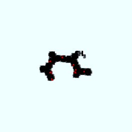 CC1C=CC(N(c2ccc(-c3ccc(-c4ccc(N(C5=CC=CCC5)c5ccc(-c6ccc(N(c7ccccc7)c7ccc(-c8ccccc8)cc7)cc6)cc5)cc4)cc3)cc2)c2ccc(-c3ccc(N(c4ccccc4)c4ccc(-c5ccccc5)cc4)cc3)cc2)=CC1